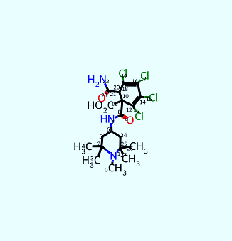 CN1C(C)(C)CC(NC(=O)C2(C(=O)O)C(Cl)=C(Cl)C(Cl)=C(Cl)C2C(N)=O)CC1(C)C